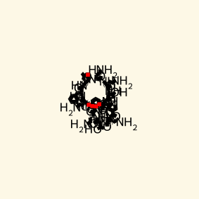 CC(C)C[C@@H]1NC(=O)[C@@H](Cc2ccccc2)NC(=O)[C@H](CCN)NC(=O)[C@@H](NC(=O)[C@H](CCN)NC(=O)[C@@H](NC(=O)[C@H](CCN)NC(=O)c2ccnc(OC(=O)c3cccc(Cl)c3)c2)C(C)O)CCNC(=O)[C@H](C(C)O)NC(=O)[C@H](CCN)NC(=O)[C@H](CCN)NC1=O